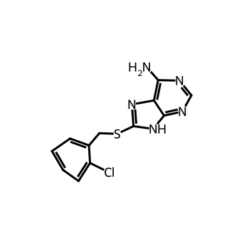 Nc1ncnc2[nH]c(SCc3ccccc3Cl)nc12